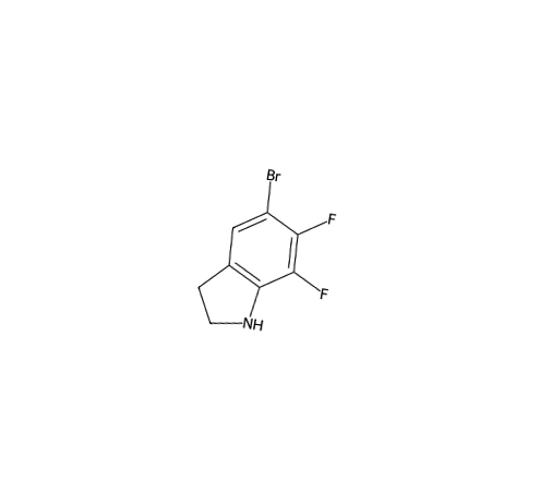 Fc1c(Br)cc2c(c1F)NCC2